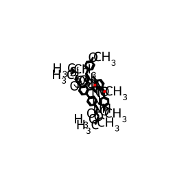 COc1ccc(CN(Cc2ccc(OC)cc2)S(=O)(=O)c2c(S(=O)(=O)CC[Si](C)(C)C)ccc(-c3ccc(NC(=O)OC(C)(C)C)nc3)c2-c2nnn(Cc3ccc(OC)cc3)n2)cc1